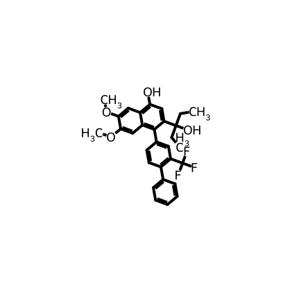 CCC(O)(CC)c1cc(O)c2cc(OC)c(OC)cc2c1-c1ccc(-c2ccccc2)c(C(F)(F)F)c1